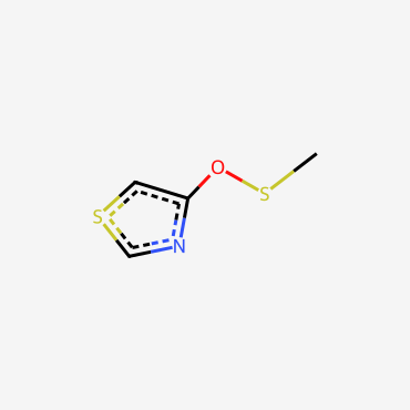 CSOc1cscn1